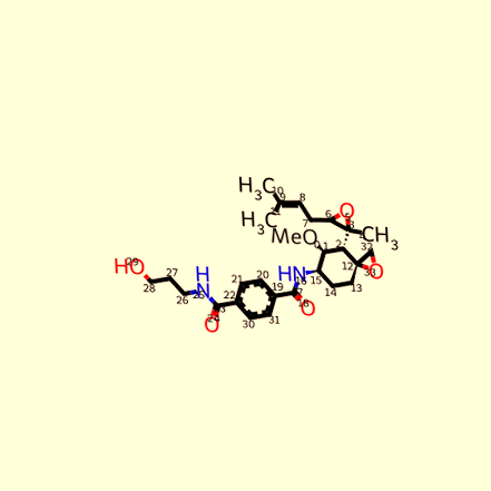 CO[C@H]1[C@H](C2(C)OC2CC=C(C)C)[C@]2(CC[C@H]1NC(=O)c1ccc(C(=O)NCCCO)cc1)CO2